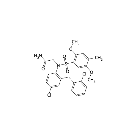 COc1cc(S(=O)(=O)N(CC(N)=O)c2ccc(Cl)cc2Cc2ccccc2Cl)c(OC)cc1C